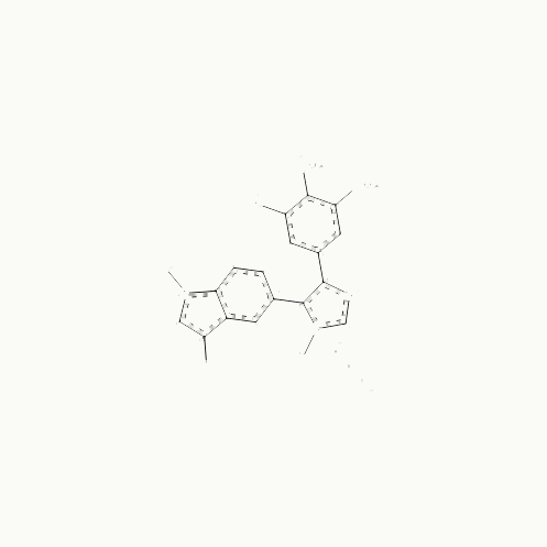 COc1cc(-c2ncn(C)c2-c2ccc3c(c2)c(Cl)cn3C)cc(N)c1OC.Cl.Cl.Cl